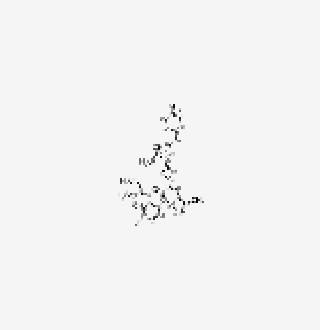 CCN(C(=O)c1cc(F)ccc1-c1cc(C2CN([C@H](CCCN3CCN(C)CC3)C(C)C)C2)cn2c(C)ncc12)C(C)C